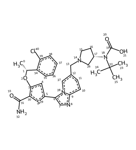 C[C@@H](Oc1cc(-c2cnc3ccc(CN4CC[C@H](N(C(=O)O)C(C)(C)C)C4)cn23)sc1C(N)=O)c1ccccc1Cl